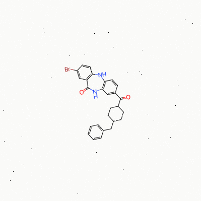 O=C1Nc2cc(C(=O)C3CCC(Cc4ccccc4)CC3)ccc2Nc2ccc(Br)cc21